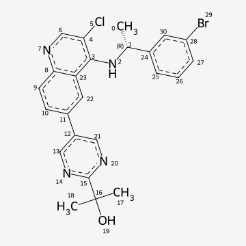 C[C@@H](Nc1c(Cl)cnc2ccc(-c3cnc(C(C)(C)O)nc3)cc12)c1cccc(Br)c1